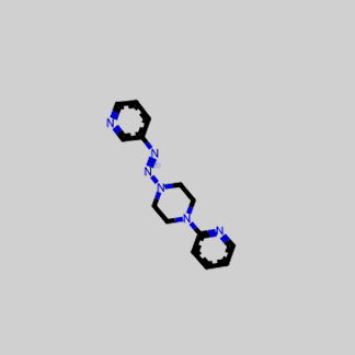 c1ccc(N2CCN(/N=N/c3cccnc3)CC2)nc1